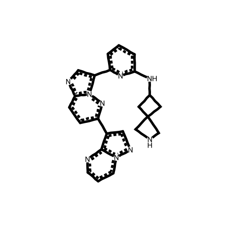 c1cc(NC2CC3(CNC3)C2)nc(-c2cnc3ccc(-c4cnn5cccnc45)nn23)c1